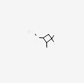 CBC1CC(F)(F)C1C